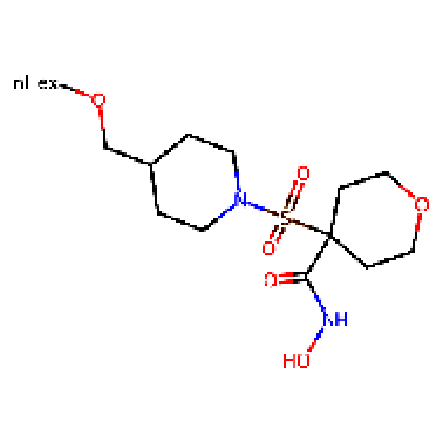 CCCCCCOCC1CCN(S(=O)(=O)C2(C(=O)NO)CCOCC2)CC1